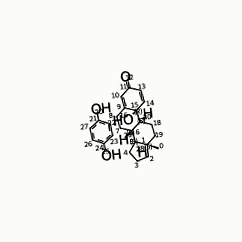 C[C@@]12CCC[C@H]1[C@@H]1CCC3=CC(=O)C=C[C@]3(O)[C@H]1CC2.Oc1ccc(O)cc1